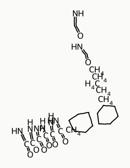 C.C.C.C.C.C.C1CCCCC1.C1CCCCC1.N=C=O.N=C=O.N=C=O.N=C=O.N=C=O.N=C=O.N=C=O.N=C=O